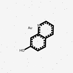 Oc1ccc2cccnc2c1.[Au]